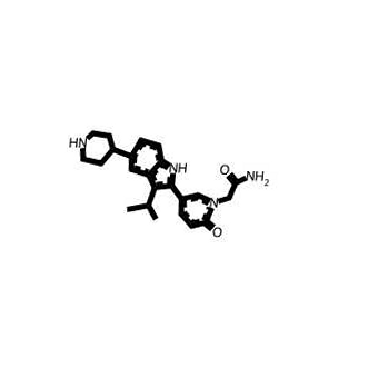 CC(C)c1c(-c2ccc(=O)n(CC(N)=O)c2)[nH]c2ccc(C3CCNCC3)cc12